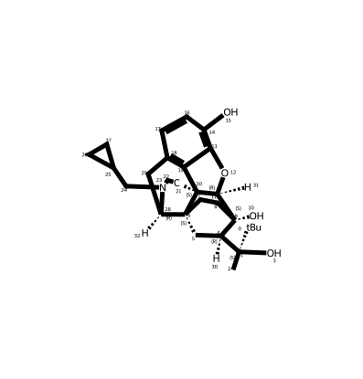 CC(C)(C)[C@@](C)(O)[C@H]1C[C@@]23CC[C@@]1(O)[C@@H]1Oc4c(O)ccc5c4[C@@]12CCN(CC1CC1)[C@@H]3C5